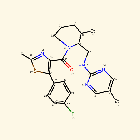 CCc1cnc(NCC2C(CC)CCCN2C(=O)c2nc(C)sc2-c2ccc(F)cc2)nc1